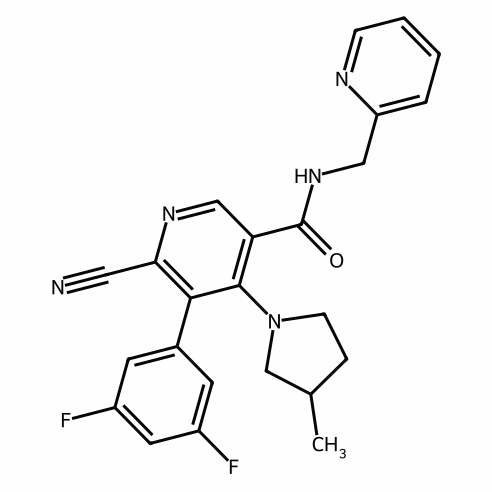 CC1CCN(c2c(C(=O)NCc3ccccn3)cnc(C#N)c2-c2cc(F)cc(F)c2)C1